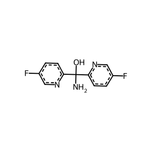 NC(O)(c1ccc(F)cn1)c1ccc(F)cn1